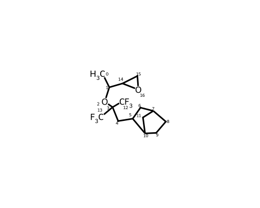 CC(OC(CC1CC2CCC1C2)(C(F)(F)F)C(F)(F)F)C1CO1